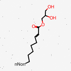 CCCCCCCCCCCCCC/C=C/C(=O)OCC(O)CO